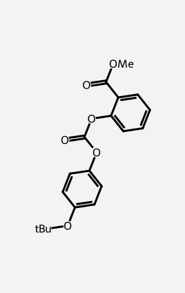 COC(=O)c1ccccc1OC(=O)Oc1ccc(OC(C)(C)C)cc1